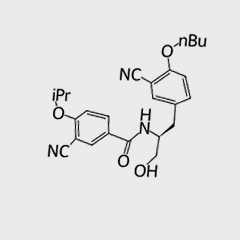 CCCCOc1ccc(C[C@@H](CO)NC(=O)c2ccc(OC(C)C)c(C#N)c2)cc1C#N